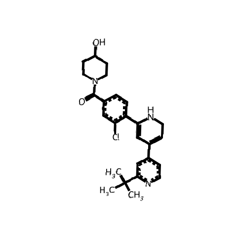 CC(C)(C)c1cc(C2=CCNC(c3ccc(C(=O)N4CCC(O)CC4)cc3Cl)=C2)ccn1